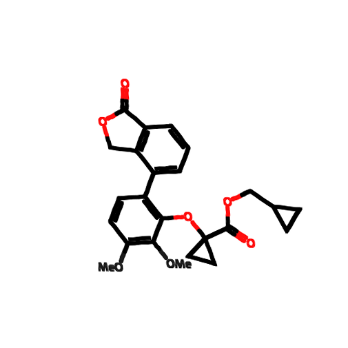 COc1ccc(-c2cccc3c2COC3=O)c(OC2(C(=O)OCC3CC3)CC2)c1OC